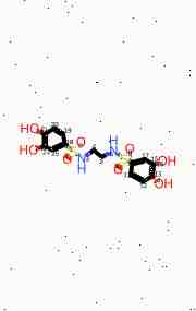 O=S(=O)(NCCNS(=O)(=O)c1ccc(O)c(O)c1)c1ccc(O)c(O)c1